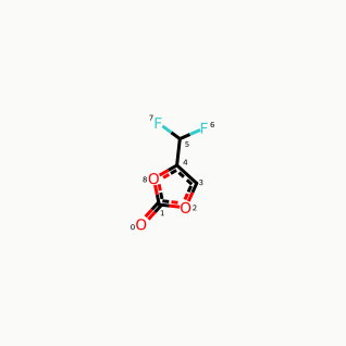 O=c1occ(C(F)F)o1